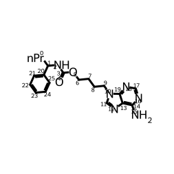 CCCC(NC(=O)OCCCCn1cnc2c(N)ncnc21)c1ccccc1